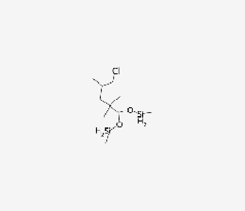 C[SiH2]OC(O[SiH2]C)C(C)(C)CC(C)CCl